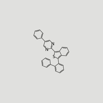 c1ccc(-c2cnc(-c3sc(-c4ccccc4-c4ccccc4)c4ccccc34)nc2)cc1